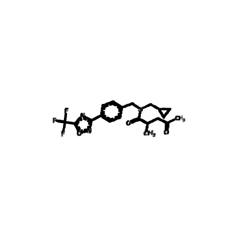 CC(=O)CC(C)C(=O)N(Cc1ccc(-c2noc(C(F)(F)F)n2)cc1)CC1CC1